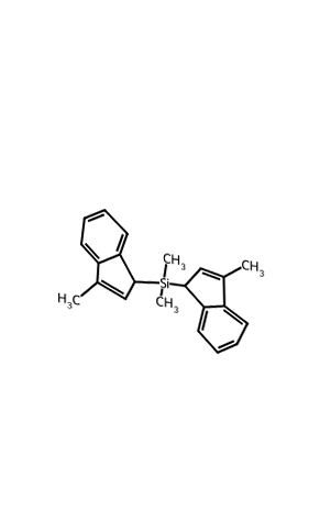 CC1=CC([Si](C)(C)C2C=C(C)c3ccccc32)c2ccccc21